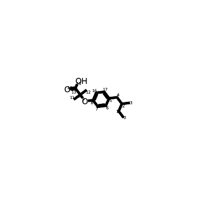 CCC(C)Cc1ccc(OC(C)(C)C(=O)O)cc1